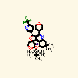 CC1(C)Cc2nc(C3CCOCC3)c3c(c2[C@@H](O[Si](C)(C)C(C)(C)C)C1)C1(CCOCC1I)O[C@@H]3c1ccc(C(F)(F)F)nc1